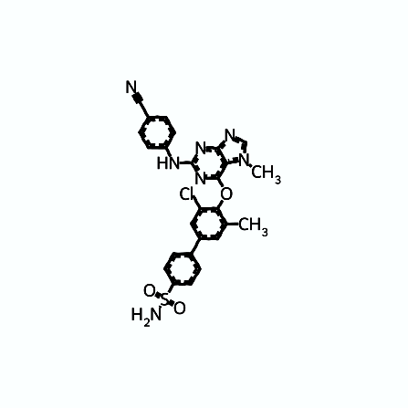 Cc1cc(-c2ccc(S(N)(=O)=O)cc2)cc(Cl)c1Oc1nc(Nc2ccc(C#N)cc2)nc2ncn(C)c12